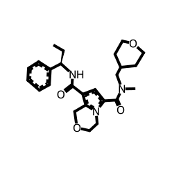 CC[C@@H](NC(=O)c1cc(C(=O)N(C)CC2CCOCC2)n2c1COCC2)c1ccccc1